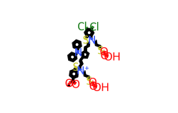 COC(=O)c1ccc2sc(/C=C/C3=C(N(c4ccccc4)c4ccccc4)C(=C/C=C4\Sc5cc(Cl)c(Cl)cc5N4CCCSOOO)/CC3)[n+](CCCSOOO)c2c1